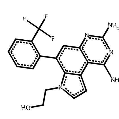 Nc1nc(N)c2c(cc(-c3ccccc3C(F)(F)F)c3c2ccn3CCO)n1